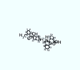 Cc1cccc(C)c1C(=O)N1CC2CN(CC[C@H](NC(=O)C3CCCC3C(=O)O)c3ccccc3)CC2C1